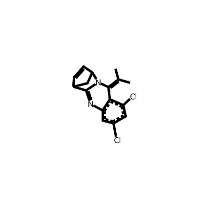 CC(C)=C1c2c(Cl)cc(Cl)cc2N=C2C3C=CC(C3)N21